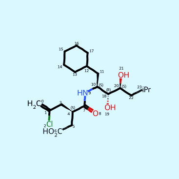 C=C(Cl)C[C@H](CC(=O)O)C(=O)N[C@@H](CC1CCCCC1)[C@@H](O)[C@@H](O)CC(C)C